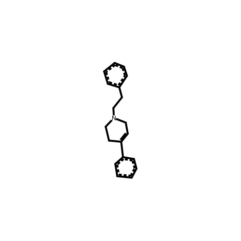 C1=C(c2ccccc2)CCN(CCc2ccccc2)C1